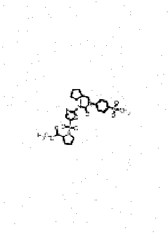 COC(=O)C1CCCN1S(=O)(=O)c1cnc(NC(=O)N(CC2CCCC2)c2ccc(S(C)(=O)=O)cc2)s1